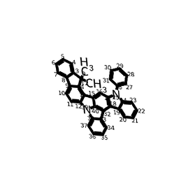 CC1(C)c2ccccc2-c2ccc3c(c21)c1cc2c(c4ccccc4n2-c2ccccc2)c2c4ccccc4n3c12